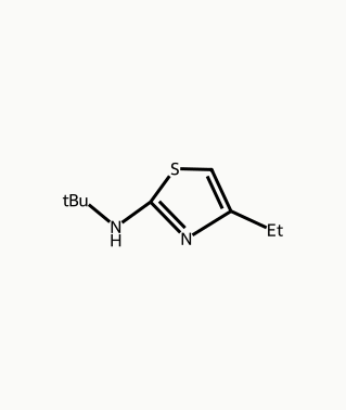 CCc1csc(NC(C)(C)C)n1